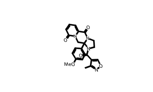 COc1ccc(C23Cn4c(cccc4=O)C(=O)N2CCN3C(=O)c2conc2C)cc1